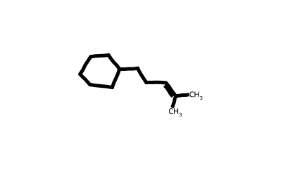 CC(C)=CCCC1CCCCC1